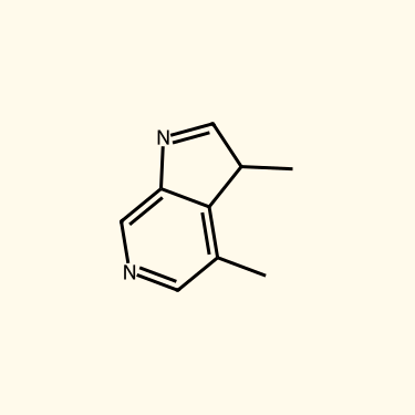 Cc1cncc2c1C(C)C=N2